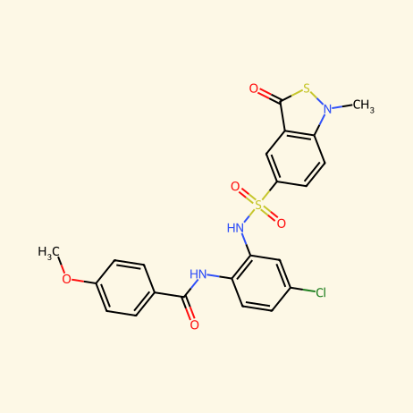 COc1ccc(C(=O)Nc2ccc(Cl)cc2NS(=O)(=O)c2ccc3c(c2)c(=O)sn3C)cc1